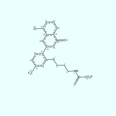 O=C(O)C(=O)NCCCOc1cc(C(F)(F)F)ccc1-c1cc(=O)c2cccc(Cl)c2o1